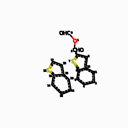 O=COC=O.c1ccc2sccc2c1.c1ccc2sccc2c1